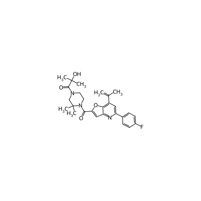 C=C(C)c1cc(-c2ccc(F)cc2)nc2cc(C(=O)N3CCN(C(=O)C(C)(C)O)CC3(C)C)oc12